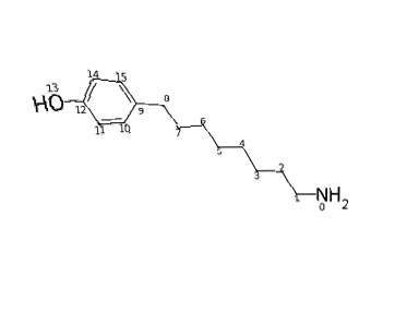 NCCCCCCCCc1ccc(O)cc1